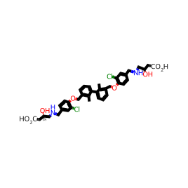 Cc1c(COc2ccc(CNC[C@@H](O)CC(=O)O)cc2Cl)cccc1-c1cccc(COc2ccc(CNC[C@@H](O)CC(=O)O)cc2Cl)c1C